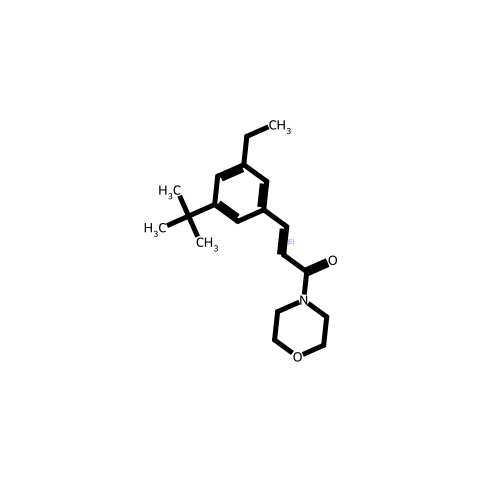 CCc1cc(/C=C/C(=O)N2CCOCC2)cc(C(C)(C)C)c1